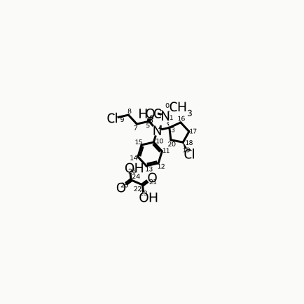 CN(C)[C@]1(N(C(=O)CCCl)c2ccccc2)CC[C@@H](Cl)C1.O=C(O)C(=O)O